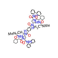 CN[C@@H](C)C(=O)N[C@H](C(=O)N1C[C@@H](NC(=O)c2ccc(C(=O)N[C@H]3C[C@@H](C(=O)Nc4ccccc4-c4ccccc4)N(C(=O)[C@@H](NC(=O)[C@H](C)NC)C4CCCCC4)C3)cc2)C[C@H]1C(=O)Nc1ccccc1-c1ccccc1)C1CCCCC1